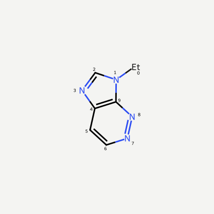 CCn1cnc2ccnnc21